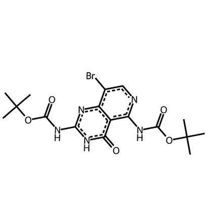 CC(C)(C)OC(=O)Nc1nc2c(Br)cnc(NC(=O)OC(C)(C)C)c2c(=O)[nH]1